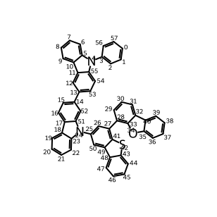 c1ccc(-n2c3ccccc3c3cc(-c4ccc5c6ccccc6n(-c6cc(-c7cccc8c7oc7ccccc78)c7sc8ccccc8c7c6)c5c4)ccc32)cc1